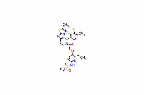 CCc1nc(NS(C)(=O)=O)ccc1OCC(=O)N1CCc2nc3sc(C)nn3c2C1c1ccc(C)c(F)c1F